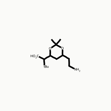 CC1(C)OC(CCN)CC(C(C(=O)O)C(C)(C)C)O1